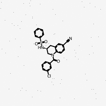 N#Cc1ccc2c(c1)C[C@H](NS(=O)(=O)c1ccccc1)CN2C(=O)c1cccc(Cl)c1